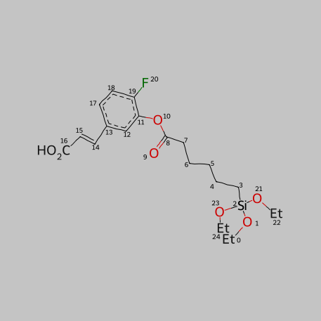 CCO[Si](CCCCCC(=O)Oc1cc(C=CC(=O)O)ccc1F)(OCC)OCC